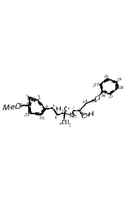 COc1ccc(CCC(C)(C)NCC(O)COc2ccccc2)cc1